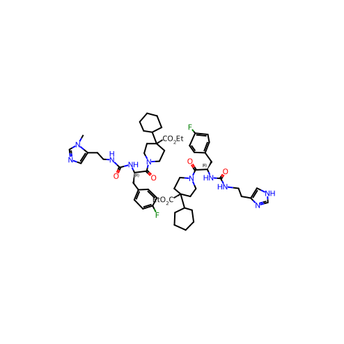 CCOC(=O)C1(C2CCCCC2)CCN(C(=O)[C@@H](Cc2ccc(F)cc2)NC(=O)NCCc2c[nH]cn2)CC1.CCOC(=O)C1(C2CCCCC2)CCN(C(=O)[C@@H](Cc2ccc(F)cc2)NC(=O)NCCc2cncn2C)CC1